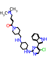 CN(C)C/C=C/C(=O)N1CCC(CNC2CCC(Nc3ncc(Cl)c(-c4c[nH]c5ccccc45)n3)CC2)CC1